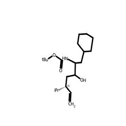 C=C[C@@H](CC(O)C(CC1CCCCC1)NC(=O)OC(C)(C)C)C(C)C